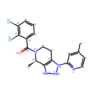 Cc1ccnc(N2NNC3=C2CCN(C(=O)c2cccc(Cl)c2Cl)[C@@H]3C)c1